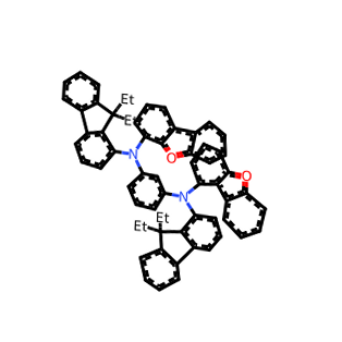 CCC1(CC)c2ccccc2-c2cccc(N(c3cccc(N(c4cccc5c4C(CC)(CC)c4ccccc4-5)c4cccc5oc6ccccc6c45)c3)c3cccc4c3oc3ccccc34)c21